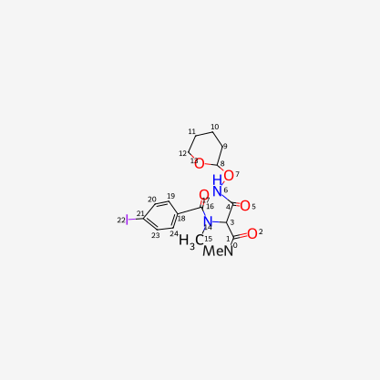 CNC(=O)C(C(=O)NOC1CCCCO1)N(C)C(=O)c1ccc(I)cc1